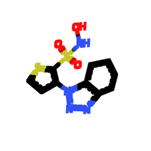 O=S(=O)(NO)c1sccc1-n1nnc2ccccc21